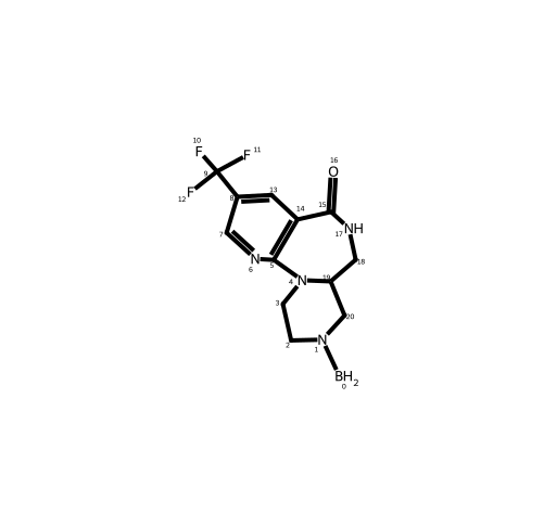 BN1CCN2c3ncc(C(F)(F)F)cc3C(=O)NCC2C1